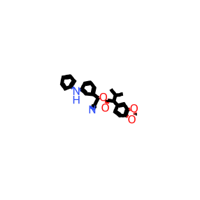 CC(C)C(C(=O)OC(C#N)c1cccc(Nc2ccccc2)c1)c1ccc2c(c1)OCO2